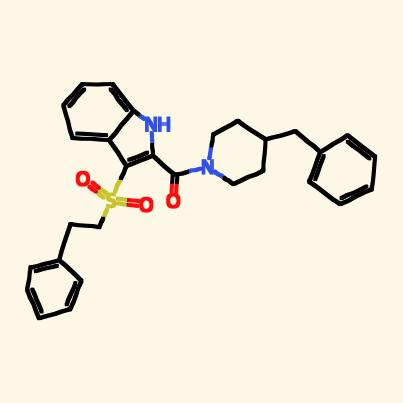 O=C(c1[nH]c2ccccc2c1S(=O)(=O)CCc1ccccc1)N1CCC(Cc2ccccc2)CC1